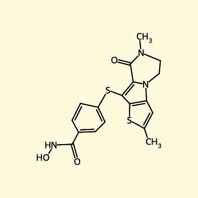 Cc1cc2c(s1)c(Sc1ccc(C(=O)NO)cc1)c1n2CCN(C)C1=O